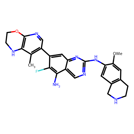 COc1cc2c(cc1Nc1ncc3c(N)c(F)c(-c4cnc5c(c4C)NCCO5)cc3n1)CNCC2